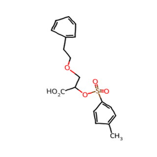 Cc1ccc(S(=O)(=O)OC(COCCc2ccccc2)C(=O)O)cc1